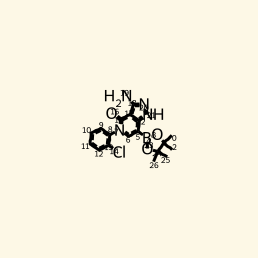 CC1(C)OB(c2cn(-c3ccccc3Cl)c(=O)c3c(N)n[nH]c23)OC1(C)C